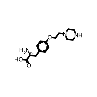 N[C@@H](Cc1ccc(OCCN2CCNCC2)cc1)C(=O)O